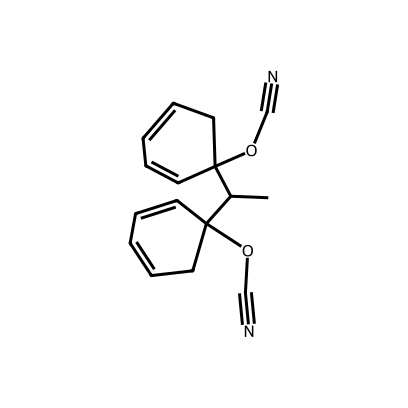 CC(C1(OC#N)C=CC=CC1)C1(OC#N)C=CC=CC1